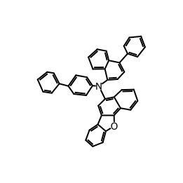 c1ccc(-c2ccc(N(c3ccc(-c4ccccc4)c4ccccc34)c3cc4c5ccccc5oc4c4ccccc34)cc2)cc1